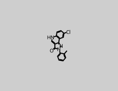 Cc1ccccc1-n1nc2c3cc(Cl)ccc3[nH]cc-2c1=O